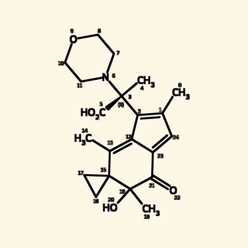 CC1=C([C@](C)(C(=O)O)N2CCOCC2)C2=C(C)C3(CC3)C(C)(O)C(=O)C2=C1